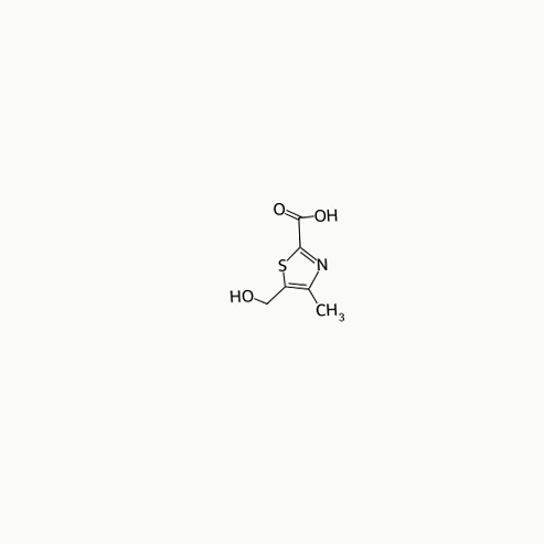 Cc1nc(C(=O)O)sc1CO